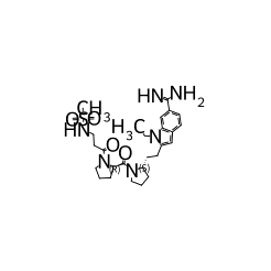 CCn1c(CC[C@@H]2CCCN2C(=O)[C@H]2CCCN2C(=O)CCNS(C)(=O)=O)cc2ccc(C(=N)N)cc21